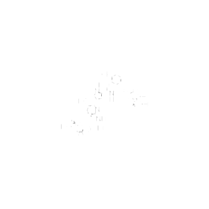 CCC(COC(=O)OP(=O)(O)O)Nc1ncc(C)c(-c2c[nH]c(C(=O)NC(COC(=O)OP(=O)(O)O)c3cccc(Cl)c3)c2)n1